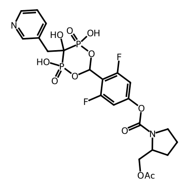 CC(=O)OCC1CCCN1C(=O)Oc1cc(F)c(C2OP(=O)(O)C(O)(Cc3cccnc3)P(=O)(O)O2)c(F)c1